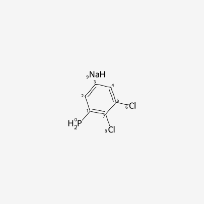 Pc1cccc(Cl)c1Cl.[NaH]